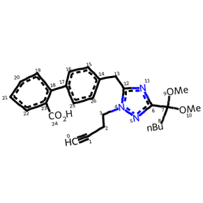 C#CCCn1nc(C(CCCC)(OC)OC)nc1Cc1ccc(-c2ccccc2C(=O)O)cc1